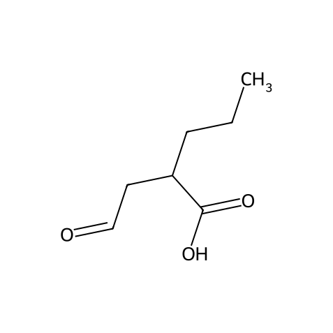 CCCC(CC=O)C(=O)O